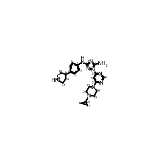 Nc1nc(Nc2ccc(C3CCNCC3)cc2)nn1-c1cc(N2CCN(C3CC3)CC2)ncn1